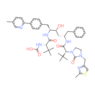 Cc1ccc(-c2ccc(C[C@H](NC(=O)[C@@H](NC(=O)O)C(C)(C)C)[C@@H](O)C[C@H](Cc3ccccc3)NC(=O)[C@@H](N3CCN(Cc4csc(C)n4)C3=O)C(C)(C)C)cc2)nc1